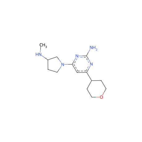 CNC1CCN(c2cc(C3CCOCC3)nc(N)n2)C1